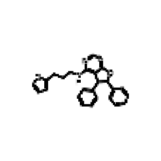 c1ccc(-c2oc3ncnc(NCCCc4ccco4)c3c2-c2ccccc2)cc1